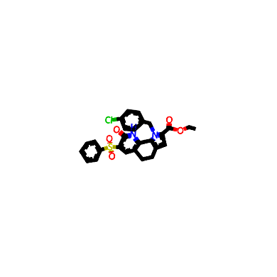 CCOC(=O)c1cc2c(n1Cc1ccc(Cl)cc1)-c1[nH]c(=O)c(S(=O)(=O)c3ccccc3)cc1CC2